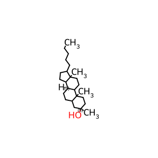 CCCCCC1CCC2[C@@H]3CCC4C[C@@](C)(O)CCC4(C)C3CCC12C